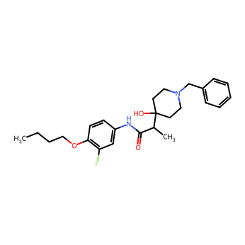 CCCCOc1ccc(NC(=O)C(C)C2(O)CCN(Cc3ccccc3)CC2)cc1F